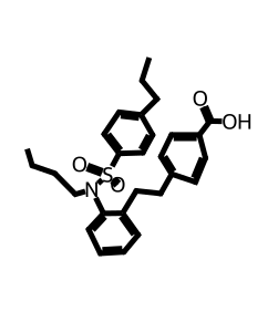 CCCCN(c1ccccc1CCc1ccc(C(=O)O)cc1)S(=O)(=O)c1ccc(CCC)cc1